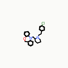 Clc1ccc(CCN2CCCCC2CN2c3ccccc3COc3ccccc32)cc1